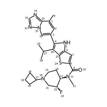 Cc1cc(-c2[nH]c3cc(C(=O)N(C)[C@@H]4CCN(C5CCC5)C[C@@H]4F)sc3c2C(C)C)cn2ncnc12